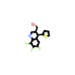 Fc1cc2c(-c3cccs3)c(CBr)cnc2c(F)c1F